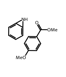 COC(=O)c1ccc(OC)cc1.c1ccc2c(c1)N2